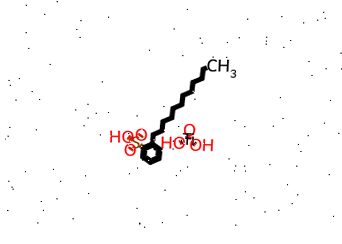 CCCCCCCCCCCCc1ccccc1S(=O)(=O)O.[O]=[Ti]([OH])[OH]